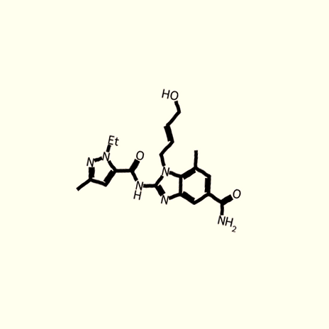 CCn1nc(C)cc1C(=O)Nc1nc2cc(C(N)=O)cc(C)c2n1CC=CCO